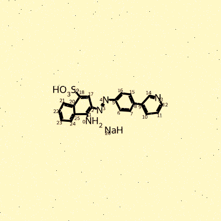 Nc1c(N=Nc2ccc(-c3cccnc3)cc2)cc(S(=O)(=O)O)c2ccccc12.[NaH]